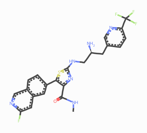 CNC(=O)c1nc(NC[C@@H](N)Cc2ccc(C(F)(F)F)nc2)sc1-c1ccc2cnc(F)cc2c1